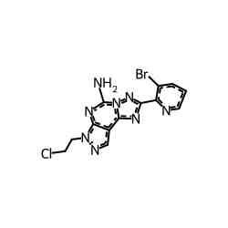 Nc1nc2c(cnn2CCCl)c2nc(-c3ncccc3Br)nn12